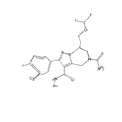 CC(C)(C)NC(=O)c1c(-c2ccc(F)c(Cl)c2)nn2c1CN(C(N)=O)CC2COC(F)F